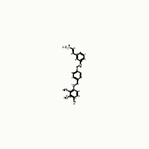 CCCc1c(OCc2ccc(COc3cccc(C=CC(=O)O)c3)cc2)ccc(C(C)=O)c1O